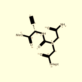 C#C[C@H](NC(=O)N(CC(N)=O)CC(=O)CCCCCCC)C(=O)OC